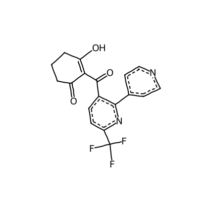 O=C1CCCC(O)=C1C(=O)c1ccc(C(F)(F)F)nc1-c1ccncc1